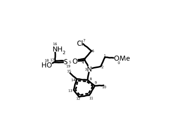 COCCN(C(=O)CCl)c1c(C)cccc1C.NC(O)=S